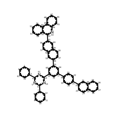 c1ccc(-c2nc(-c3ccccc3)nc(-c3cc(-c4ccc(-c5ccc6ccccc6c5)cc4)cc(-c4ccc5cc(-c6nc7ccccc7c7ccccc67)ccc5c4)c3)n2)cc1